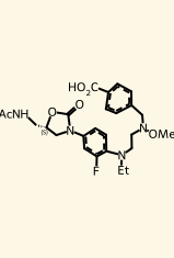 CCN(CCN(Cc1ccc(C(=O)O)cc1)OC)c1ccc(N2C[C@H](CNC(C)=O)OC2=O)cc1F